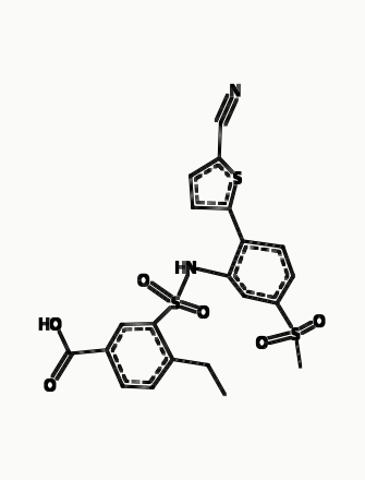 CCc1ccc(C(=O)O)cc1S(=O)(=O)Nc1cc(S(C)(=O)=O)ccc1-c1ccc(C#N)s1